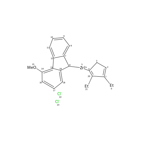 CCC1=CC[C]([Zr+2][CH]2c3ccccc3-c3c(OC)cccc32)=C1CC.[Cl-].[Cl-]